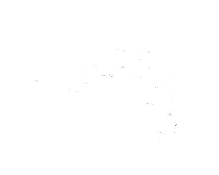 COc1nc(-c2ccnc(-c3cccc(Nc4nccc(CN5CC(CO)C5)c4F)c3Cl)c2Cl)ccc1CNC[C@H]1CCC(=O)N1